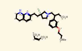 COCCOc1cccc(C(CC(=O)O)CN2CC[C@@](F)(CCc3ccc4c(n3)NCCC4)C2)c1.O=C(O)/C=C\C(=O)O